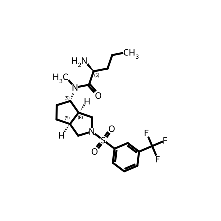 CCC[C@H](N)C(=O)N(C)[C@H]1CC[C@@H]2CN(S(=O)(=O)c3cccc(C(F)(F)F)c3)C[C@@H]21